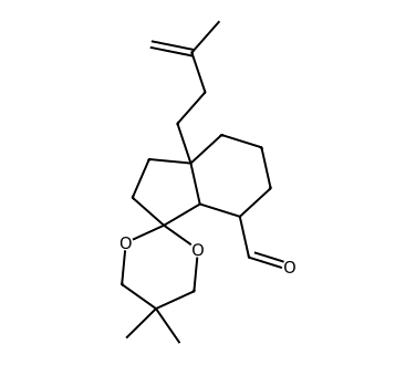 C=C(C)CCC12CCCC(C=O)C1C1(CC2)OCC(C)(C)CO1